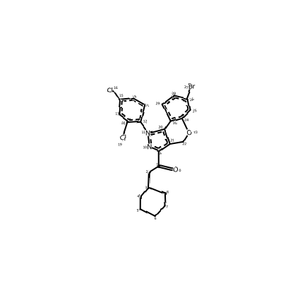 O=C(CC1CCCCC1)c1nn(-c2ccc(Cl)cc2Cl)c2c1COc1cc(Br)ccc1-2